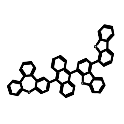 c1ccc2c(c1)Oc1ccc(-c3c4ccccc4c(-c4ccc(-c5cccc6c5oc5ccccc56)c5c4oc4ccccc45)c4ccccc34)cc1-c1ccccc1-2